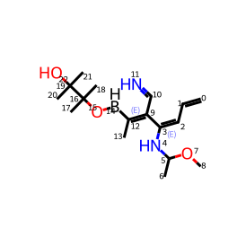 C=C/C=C(NC(C)OC)\C(C=N)=C(/C)BOC(C)(C)C(C)(C)O